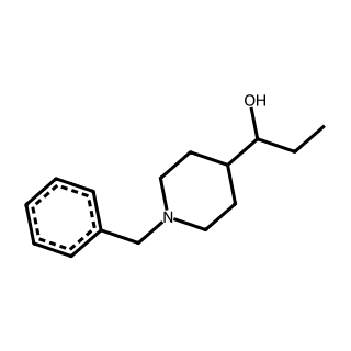 CCC(O)C1CCN(Cc2ccccc2)CC1